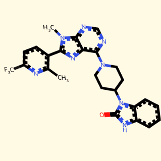 Cc1nc(C(F)(F)F)ccc1-c1nc2c(N3CCC(n4c(=O)[nH]c5ccccc54)CC3)ncnc2n1C